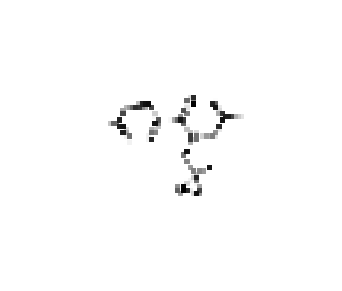 C=C(C)CN(CC1(C)CO1)C(=O)c1ccc(C)cc1